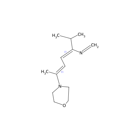 C=N/C(=C\C=C(/C)N1CCOCC1)C(C)C